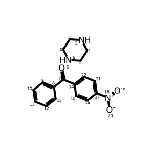 C1CNCCN1.O=C(c1ccccc1)c1ccc([N+](=O)[O-])cc1